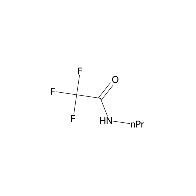 CCCNC(=O)C(F)(F)F